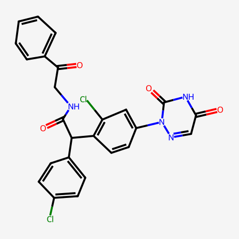 O=C(CNC(=O)C(c1ccc(Cl)cc1)c1ccc(-n2ncc(=O)[nH]c2=O)cc1Cl)c1ccccc1